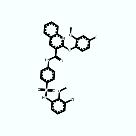 COc1cc(Cl)ccc1Oc1nc2ccccc2cc1C(=O)Nc1ccc(S(=O)(=O)Nc2cccc(Cl)c2OC)cc1